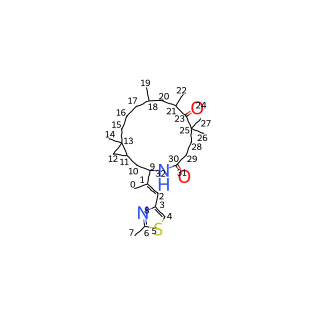 CC(=Cc1csc(C)n1)C1CC2CC2(C)CCCC(C)CC(C)C(=O)C(C)(C)CCC(=O)N1